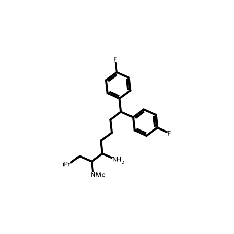 CNC(CC(C)C)C(N)CCCC(c1ccc(F)cc1)c1ccc(F)cc1